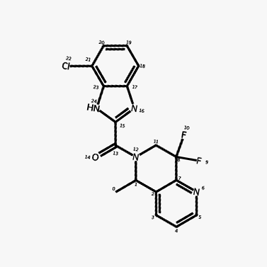 CC1c2cccnc2C(F)(F)CN1C(=O)c1nc2cccc(Cl)c2[nH]1